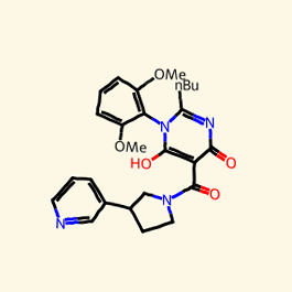 CCCCc1nc(=O)c(C(=O)N2CCC(c3cccnc3)C2)c(O)n1-c1c(OC)cccc1OC